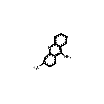 Cc1ccc2c(N)c3ccccc3nc2c1